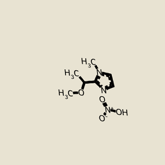 COC(C)c1nccn1C.O=[N+]([O-])O